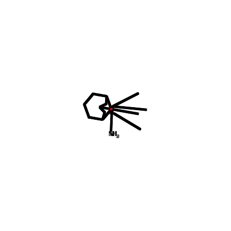 CC1CC2CCCC(C1)C21CC(C)(C)N(C)C1N